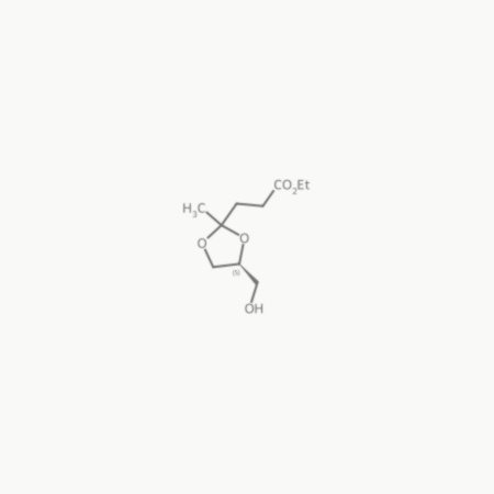 CCOC(=O)CCC1(C)OC[C@H](CO)O1